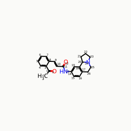 CC(=O)c1ccccc1C=CC(=O)Nc1ccc2c(c1)C1CCCN1CC2